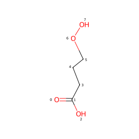 O=C(O)CCCOO